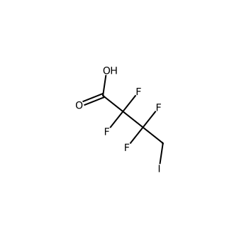 O=C(O)C(F)(F)C(F)(F)CI